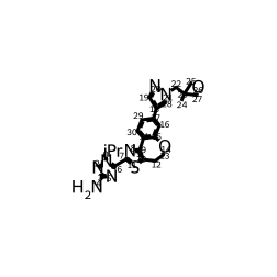 CC(C)n1nc(N)nc1-c1nc2c(s1)CCOc1cc(-c3cnn(CC4(C)COC4)c3)ccc1-2